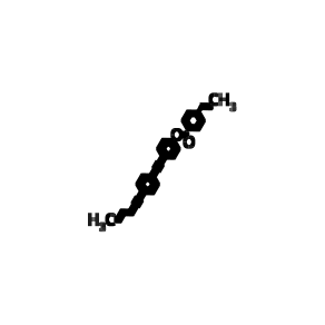 CCCCC#Cc1ccc(C#Cc2ccc(OC(=O)[C@H]3CC[C@H](CCC)CC3)cc2)cc1